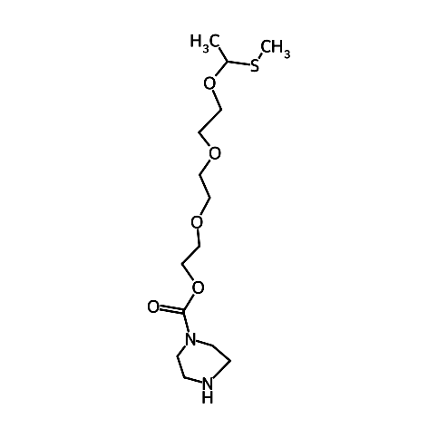 CSC(C)OCCOCCOCCOC(=O)N1CCNCC1